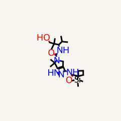 CC(C)C(NC(=O)N1Cc2c(NC(=O)C3([Si](C)(C)C)CCC3)n[nH]c2C1(C)C)C(C)(C)CO